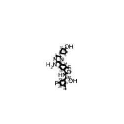 Nc1ncc([C@H]2CC[C@@H](O)CC2)nc1-c1ccc(C(=O)N[C@H](CO)c2cc(F)cc(I)c2)c(F)c1